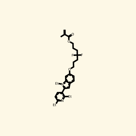 C=C(C)C(=O)OCCCC(F)(F)CCCOc1ccc2cc(-c3ccc(CC)nc3CC)n(CC)c2c1